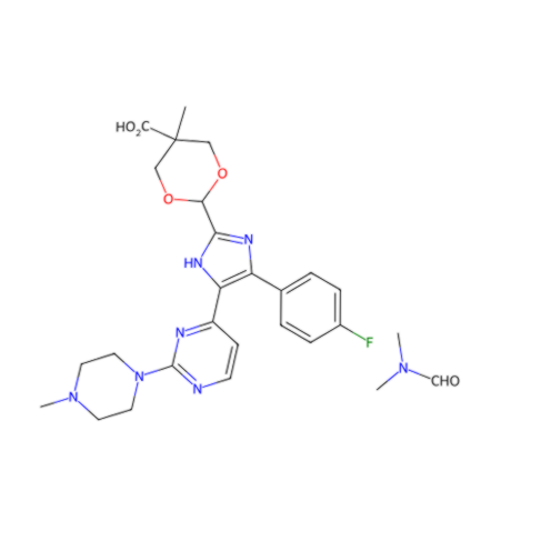 CN(C)C=O.CN1CCN(c2nccc(-c3[nH]c(C4OCC(C)(C(=O)O)CO4)nc3-c3ccc(F)cc3)n2)CC1